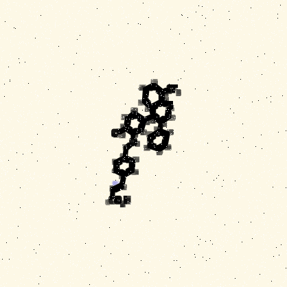 O=C(O)/C=C/c1ccc(COc2cc(-c3c(-c4ccccc4)cnc4c(C(F)(F)F)cccc34)ccc2Cl)cc1